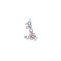 CC(C)(C)OC(=O)N1CCC(N2Cc3cc(F)cc(I)c3C2=O)CC1